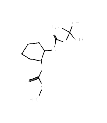 COC(=O)OC1CCCCC1OC(=O)OC(C)(C)C